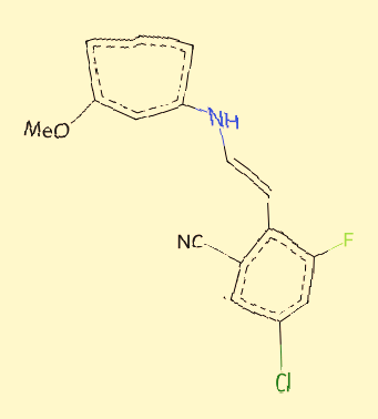 COc1cccc(NC=Cc2c(C#N)[c]c(Cl)cc2F)c1